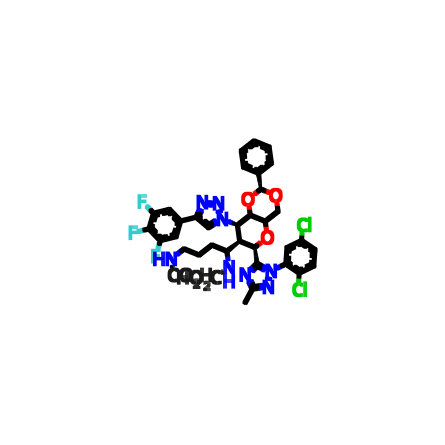 Cc1nc([C@@H]2OC3CO[C@H](c4ccccc4)OC3[C@H](n3cc(-c4cc(F)c(F)c(F)c4)nn3)[C@@H]2C(CCCNC(=O)O)NC(=O)O)n(-c2cc(Cl)ccc2Cl)n1